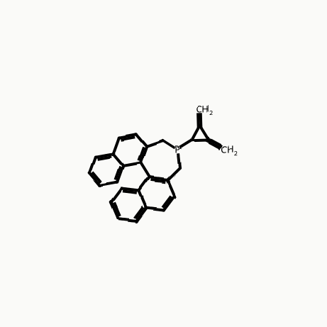 C=C1C(=C)C1P1Cc2ccc3ccccc3c2-c2c(ccc3ccccc23)C1